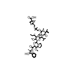 C=C(C)[C@@H](C(=O)N[C@H](C(=O)N(C)[C@@H]([C@@H](C)CC)[C@@H](CC(=O)N1CCC[C@H]1[C@H](OC)[C@@H](C)C(=O)N[C@H](C)[C@@H](O)c1ccccc1)OC)C(C)C)N(C)C(=O)OCC(C)(C)SSc1ncc(C(=O)O)n1C